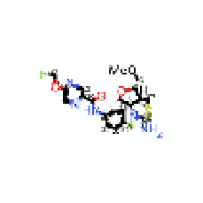 COC[C@H]1OC[C@]2(c3cc(NC(=O)c4cnc(OCF)cn4)ccc3F)N=C(N)SC[C@H]12